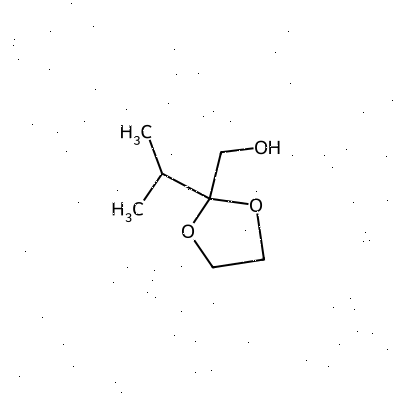 CC(C)C1(CO)OCCO1